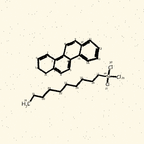 C1=Cc2c(ccc3c2ccc2ccccc23)CC1.CCCCCCCCCC[Si](Cl)(Cl)Cl